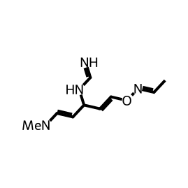 C/C=N/O/C=C/C(/C=C/NC)NC=N